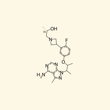 Cc1nn(C(C)C(C)Oc2ccc(F)c(C3CN(C[C@H](C)O)C3)c2)c2ncnc(N)c12